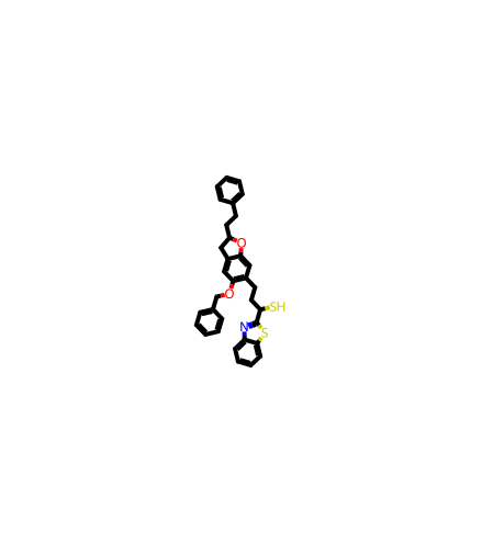 SC(CCc1cc2c(cc1OCc1ccccc1)CC(CCc1ccccc1)O2)c1nc2ccccc2s1